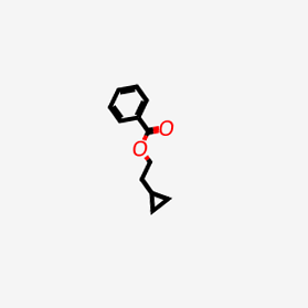 O=C(OCCC1CC1)c1ccccc1